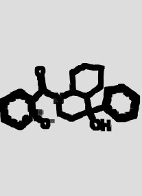 O=C(c1cccc[n+]1[O-])N1CCC(O)(c2ccccc2)C2CCCCC21